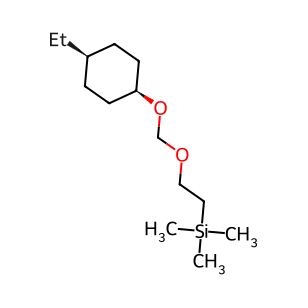 CC[C@H]1CC[C@@H](OCOCC[Si](C)(C)C)CC1